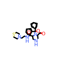 O=C(NCCN1CCSCC1)C1CNCC2C(=O)OC(c3ccccc3)(c3ccccc3)N12